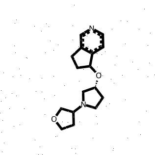 c1cc2c(cn1)CCC2O[C@@H]1CCN(C2CCOC2)C1